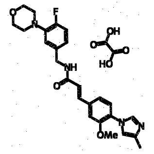 COc1cc(/C=C/C(=O)NCc2ccc(F)c(N3CCOCC3)c2)ccc1-n1cnc(C)c1.O=C(O)C(=O)O